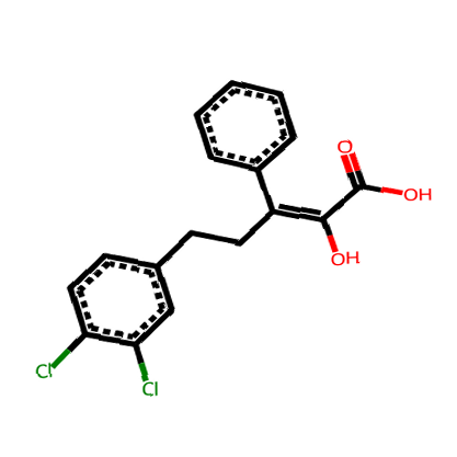 O=C(O)/C(O)=C(/CCc1ccc(Cl)c(Cl)c1)c1ccccc1